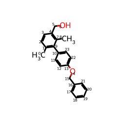 Cc1ccc(CO)c(C)c1-c1ccc(OCc2ccccc2)cc1